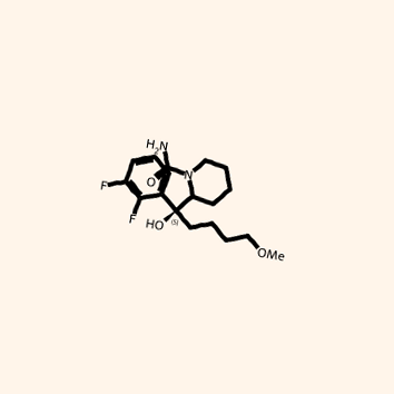 COCCCC[C@](O)(c1cccc(F)c1F)C1CCCCN1C(N)=O